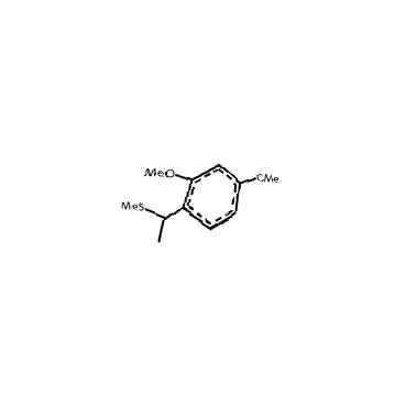 COc1ccc(C(C)SC)c(OC)c1